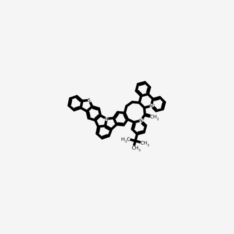 C=C1C2C(CCc3cc4c(cc3-c3cc(C(C)(C)C)cc[n+]31)c1cccc3c5cc6c(cc5n4c13)sc1ccccc16)c1ccccc1-c1cccc[n+]12